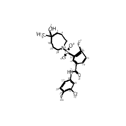 CC1(O)CCCN(S(=O)(=O)c2cc(C(=O)Nc3ccc(F)c(Cl)c3)ccc2F)CCC1